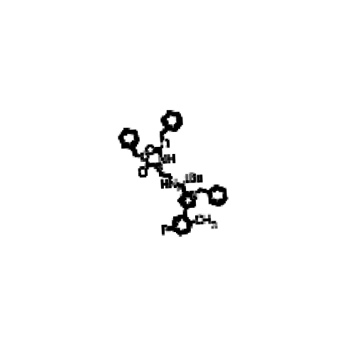 Cc1ccc(F)cc1-c1cc([C@H](NCC[C@H](NC(=O)OCc2ccccc2)C(=O)OCc2ccccc2)C(C)(C)C)n(Cc2ccccc2)c1